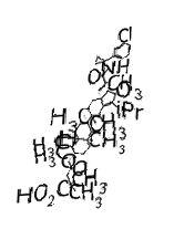 C/C(=C\[C@@]12CC[C@]3(C)C(CCC4[C@@]5(C)CC[C@H](OC(=O)CC(C)(C)C(=O)O)C(C)(C)[C@@H]5CC[C@]43C)C1=C(C(C)C)C(=O)C2)C(=O)NC1(c2cccc(Cl)c2)CC1